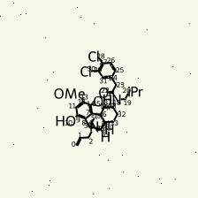 C=CCN1CC[C@]23c4c5c(O)cc(OC)c4O[C@H]2[C@@H](N(CC(C)C)C(=O)Cc2ccc(Cl)c(Cl)c2)CC[C@H]3[C@H]1C5